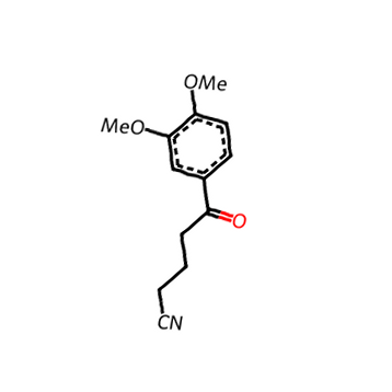 COc1ccc(C(=O)CCCC#N)cc1OC